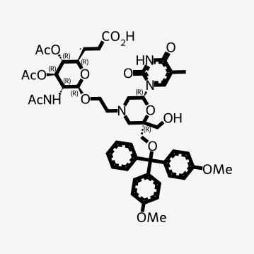 COc1ccc(C(OC[C@]2(CO)CN(CCO[C@@H]3O[C@H]([CH]CC(=O)O)[C@@H](OC(C)=O)[C@H](OC(C)=O)[C@H]3NC(C)=O)C[C@H](n3cc(C)c(=O)[nH]c3=O)O2)(c2ccccc2)c2ccc(OC)cc2)cc1